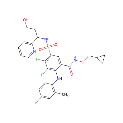 Cc1cc(I)ccc1Nc1c(C(=O)NOCC2CC2)cc(S(=O)(=O)NC(CCO)c2ccccn2)c(F)c1F